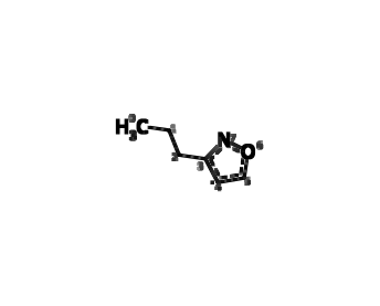 CCCc1[c]con1